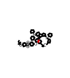 CCC(C)(C)Oc1ccc(S(=O)(=O)c2ccc(Oc3ccc(CC45Cc6ccc(cc6)C(C)(C)CCc6cccc(c6)N(c6ccccc6)c6ccc(c4c6)-c4ccc(N(c6ccccc6)c6ccccc6)cc45)cc3)cc2)cc1